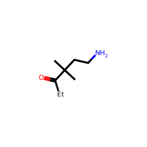 CCC(=O)C(C)(C)CCN